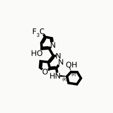 Oc1cc(C(F)(F)F)cnc1-c1nnc(N[C@@H]2CCCC[C@H]2O)c2occc12